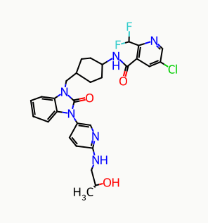 C[C@H](O)CNc1ccc(-n2c(=O)n(CC3CCC(NC(=O)c4cc(Cl)cnc4C(F)F)CC3)c3ccccc32)cn1